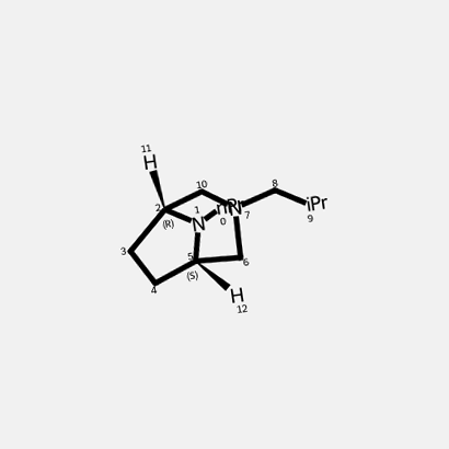 CCCN1[C@@H]2CC[C@H]1CN(CC(C)C)C2